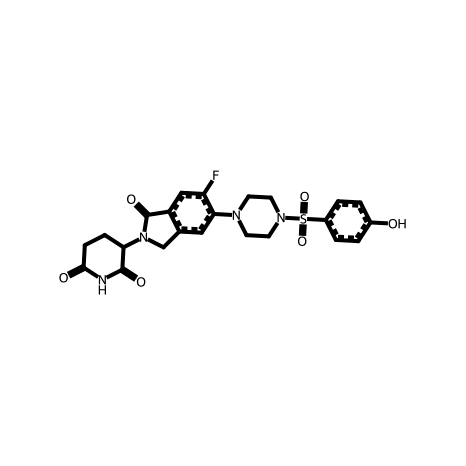 O=C1CCC(N2Cc3cc(N4CCN(S(=O)(=O)c5ccc(O)cc5)CC4)c(F)cc3C2=O)C(=O)N1